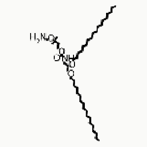 CCCCCCCCCCCCCCCCCCOCC(CNC(=O)OCCC(C)(C)OCN)OCCCCCCCCCCCCCCCCCC